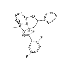 CC(=O)N1N=C(c2cc(F)ccc2F)S[C@]12CC(c1ccccc1)Oc1ccccc12